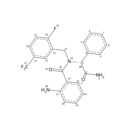 NC(=O)[C@@H](c1ccccc1)N(Cc1cc(C(F)(F)F)ccc1F)C(=O)c1ccccc1N